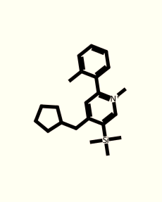 Cc1ccccc1-c1cc(CC2CCCC2)c([Si](C)(C)C)c[n+]1C